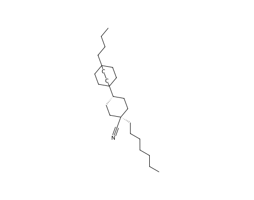 CCCCCCC[C@]1(C#N)CC[C@H](C23CCC(CCCC)(CC2)CC3)CC1